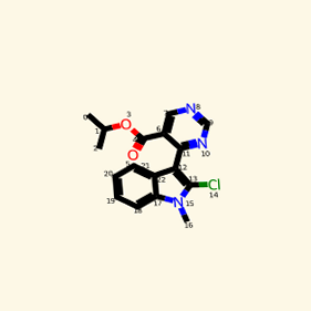 CC(C)OC(=O)c1cncnc1-c1c(Cl)n(C)c2ccccc12